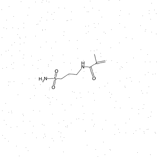 C=C(C)C(=O)NCCCS(N)(=O)=O